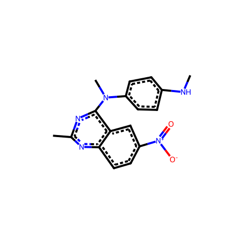 CNc1ccc(N(C)c2nc(C)nc3ccc([N+](=O)[O-])cc23)cc1